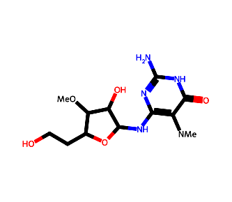 CNc1c(NC2OC(CCO)C(OC)C2O)nc(N)[nH]c1=O